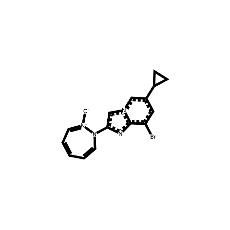 [O-][N+]1=CC=CC=CN1c1cn2cc(C3CC3)cc(Br)c2n1